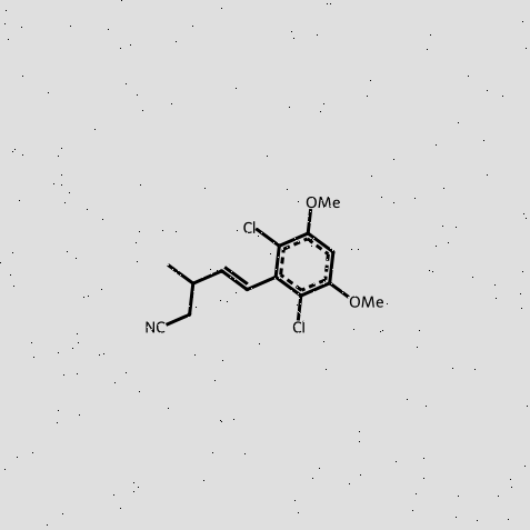 COc1cc(OC)c(Cl)c(/C=C/C(C)CC#N)c1Cl